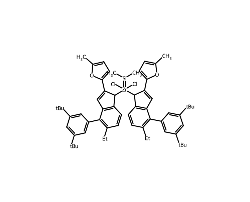 CCc1ccc2c(c1-c1cc(C(C)(C)C)cc(C(C)(C)C)c1)C=C(c1ccc(C)o1)[CH]2[Zr]([Cl])([Cl])([CH]1C(c2ccc(C)o2)=Cc2c1ccc(CC)c2-c1cc(C(C)(C)C)cc(C(C)(C)C)c1)=[Si](C)C